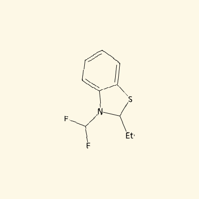 C[CH]C1Sc2ccccc2N1C(F)F